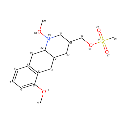 COc1cccc2c1CC1CC(COS(C)(=O)=O)CN(OC)C1C2